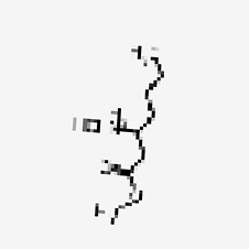 CCCCC(N)CC(=O)OC.Cl